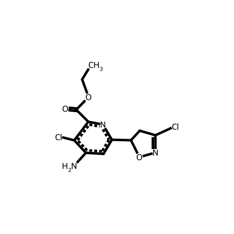 CCOC(=O)c1nc(C2CC(Cl)=NO2)cc(N)c1Cl